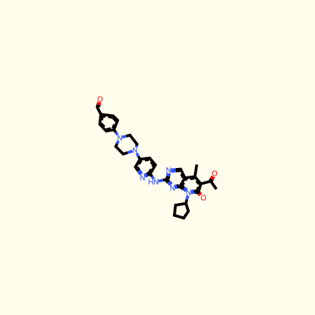 CC(=O)c1c(C)c2cnc(Nc3ccc(N4CCN(c5ccc(C=O)cc5)CC4)cn3)nc2n(C2CCCC2)c1=O